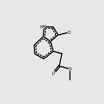 COC(=O)Cc1cccc2[nH]cc(Cl)c12